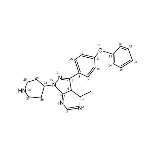 CC1N=CN=C2C1C(c1ccc(Oc3ccccc3)cc1)=NN2C1CCNCC1